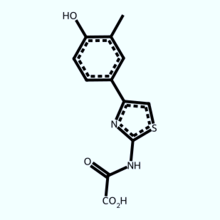 Cc1cc(-c2csc(NC(=O)C(=O)O)n2)ccc1O